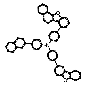 c1ccc2cc(-c3ccc(N(c4ccc(-c5ccc6oc7ccccc7c6c5)cc4)c4ccc(-c5cccc6oc7c8ccccc8ccc7c56)cc4)cc3)ccc2c1